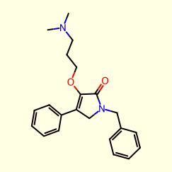 CN(C)CCCOC1=C(c2ccccc2)CN(Cc2ccccc2)C1=O